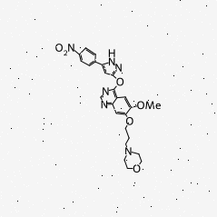 COc1cc2c(Oc3cc(-c4ccc([N+](=O)[O-])cc4)[nH]n3)ncnc2cc1OCCCN1CCOCC1